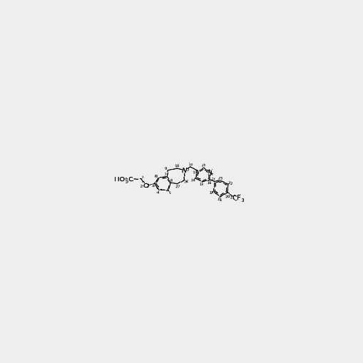 O=C(O)COc1ccc2c(c1)CCN(Cc1ccc(-c3ccc(C(F)(F)F)cc3)nc1)CC2